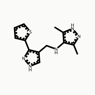 Cc1n[nH]c(C)c1NCc1c[nH]nc1-c1cccs1